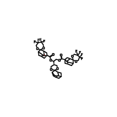 O=C(OCC(OC(=O)C12CC3CC(C1)C1(OCC(F)(F)C(F)(F)CO1)C(C3)C2)C1COC2(OC1)C1CC3CC(C1)CC2C3)C12CC3CC(C1)C1(OCC(F)(F)C(F)(F)CO1)C(C3)C2